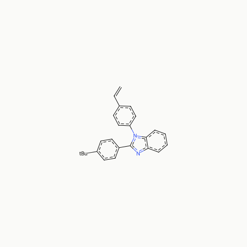 C=Cc1ccc(-n2c(-c3ccc(C(C)(C)C)cc3)nc3ccccc32)cc1